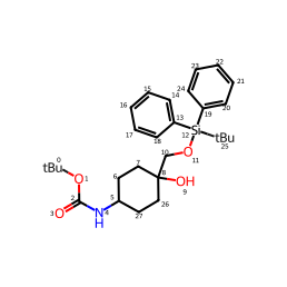 CC(C)(C)OC(=O)NC1CCC(O)(CO[Si](c2ccccc2)(c2ccccc2)C(C)(C)C)CC1